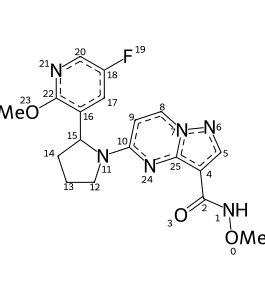 CONC(=O)c1cnn2ccc(N3CCCC3c3cc(F)cnc3OC)nc12